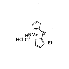 CCC1=[C]([Zr][C]2=CC=CC2)CC=C1.CNC.Cl.Cl